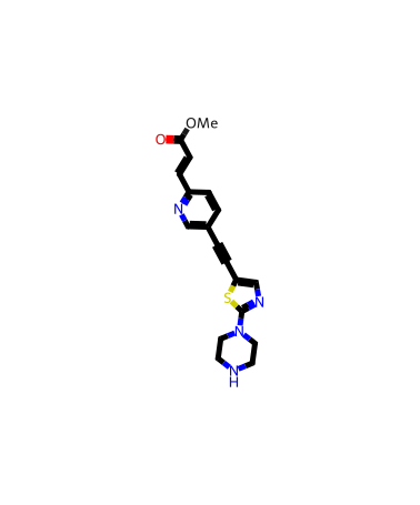 COC(=O)/C=C/c1ccc(C#Cc2cnc(N3CCNCC3)s2)cn1